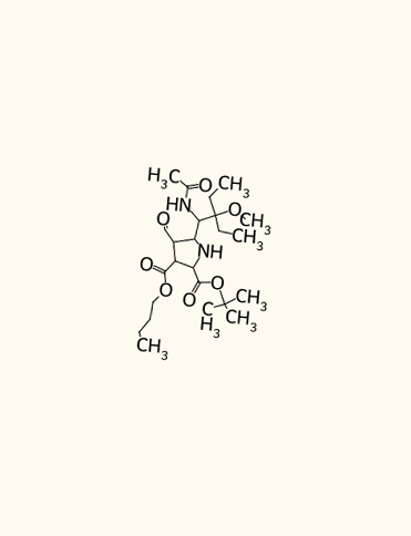 CCCCOC(=O)C1C(C(=O)OC(C)(C)C)NC(C(NC(C)=O)C(CC)(CC)OC)C1C=O